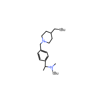 CC(c1ccc(CN2CCC(CC(C)(C)C)CC2)cc1)N(C)C(C)(C)C